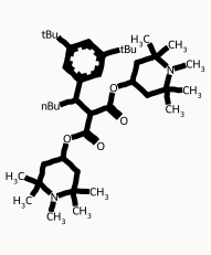 CCCCC(c1cc(C(C)(C)C)cc(C(C)(C)C)c1)C(C(=O)OC1CC(C)(C)N(C)C(C)(C)C1)C(=O)OC1CC(C)(C)N(C)C(C)(C)C1